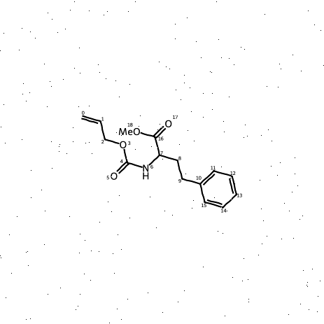 C=CCOC(=O)NC(CCc1ccccc1)C(=O)OC